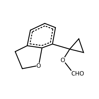 O=COC1(c2cccc3c2OCC3)CC1